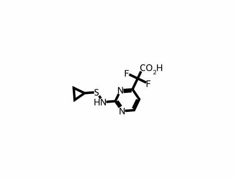 O=C(O)C(F)(F)c1ccnc(NSC2CC2)n1